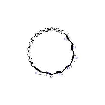 [C]1=C/C=C/C=C\C=C\C=C\C=C\C=C/CCCCCCCCCCCC/1